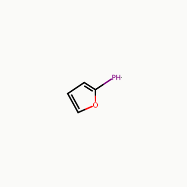 [PH]c1ccco1